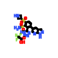 NS(=O)(=O)c1c(S(=O)(=O)C2CNC2)ccc(C2=CC3C=NNC3N=C2)c1-c1nnn[nH]1.O=C(O)C(F)(F)F